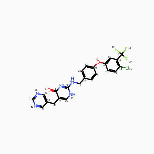 O=c1nc(NCc2ccc(Oc3ccc(Cl)c(C(F)(F)F)c3)cc2)[nH]cc1Cc1cncnc1